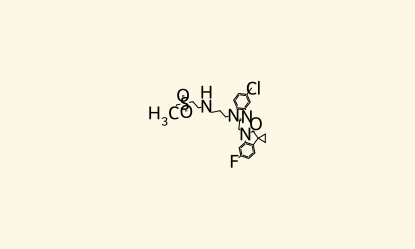 CCS(=O)(=O)CCNCCCn1c(CN2C(=O)C3(CC3)c3ccc(F)cc32)nc2cc(Cl)ccc21